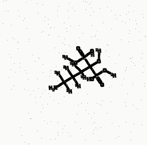 [2H]OC(C([2H])([2H])C([2H])([2H])C([2H])([2H])N)(P(=O)(O)O[2H])P(=O)(O)O[2H]